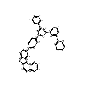 c1ccc(-c2cccc(-c3nc(-c4ccccc4)nc(-c4ccc(-c5ccc6oc7ccc8ccccc8c7c6c5)cc4)n3)c2)cc1